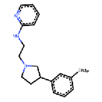 COc1cccc(C2CCN(CCNc3ccccn3)C2)c1